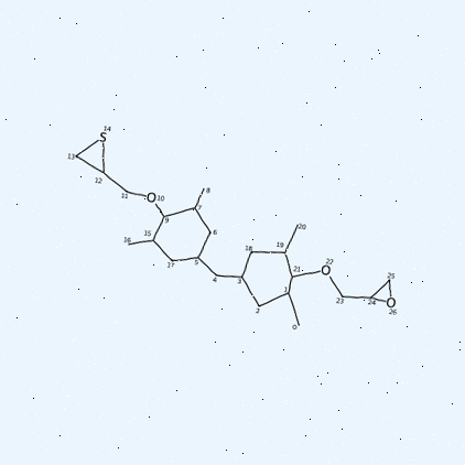 CC1CC(CC2CC(C)C(OCC3CS3)C(C)C2)CC(C)C1OCC1CO1